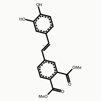 COC(=O)c1ccc(/C=C/c2ccc(O)c(O)c2)cc1C(=O)OC